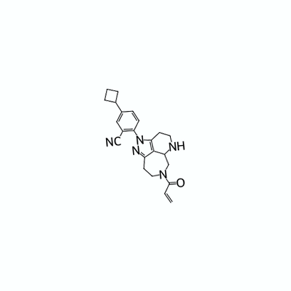 C=CC(=O)N1CCc2nn(-c3ccc(C4CCC4)cc3C#N)c3c2C(C1)NCC3